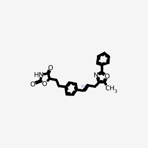 Cc1oc(-c2ccccc2)nc1C/C=C/c1ccc(CCC2OC(=O)NC2=O)cc1